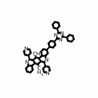 Cc1c2c(-c3ccncc3)nc3cc(-c4ccc(-c5nc(-c6ccccc6)nc(-c6ccccc6)n5)cc4)ccc3c2c(C)c2c(-c3ccncc3)nc3ccccc3c12